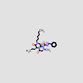 CCCCCCN1C[C@H]2N(C(=O)CN(C)N2C(=O)NCc2ccccc2)[C@@H](CCC)C1=O